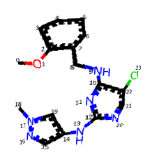 COc1ccccc1CNc1nc(Nc2cnn(C)c2)ncc1Cl